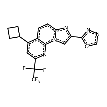 FC(F)(F)C(F)(F)c1cc(C2CCC2)c2ccc3nc(-c4nnco4)cn3c2n1